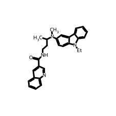 CCn1c2ccccc2c2cc(N(C)C(C)CCNC(=O)c3cnc4ccccc4c3)ccc21